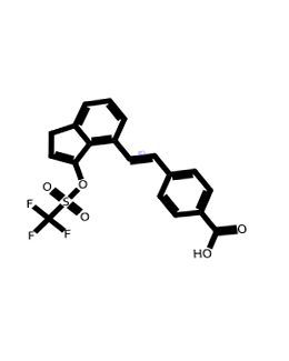 O=C(O)c1ccc(/C=C/c2cccc3c2C(OS(=O)(=O)C(F)(F)F)=CC3)cc1